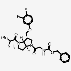 CC(C)(C)C(N)C(=O)N1CC[C@@H]2[C@H]1[C@@H](COc1ccc(F)c(F)c1)CN2C(=O)CNC(=O)OCc1ccccc1